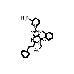 CC(=O)Cn1c(CCc2ccccc2)nc2nc(N3CCCC(N)C3)n(Cc3ccccc3)c2c1=O